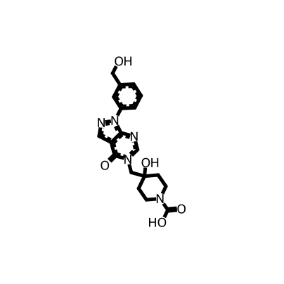 O=C(O)N1CCC(O)(Cn2cnc3c(cnn3-c3cccc(CO)c3)c2=O)CC1